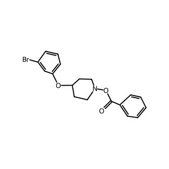 O=C(ON1CCC(Oc2cccc(Br)c2)CC1)c1ccccc1